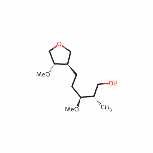 CO[C@@H](CC[C@@H]1COC[C@H]1OC)[C@@H](C)CO